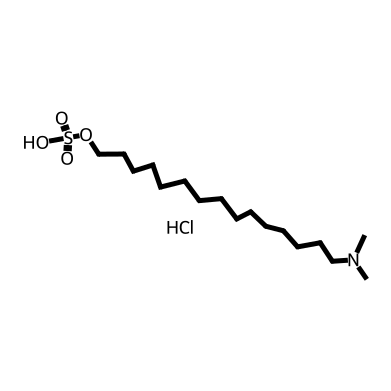 CN(C)CCCCCCCCCCCCCCCOS(=O)(=O)O.Cl